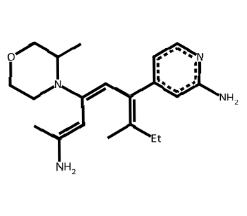 CC/C(C)=C(/C=C(\C=C(/C)N)N1CCOCC1C)c1ccnc(N)c1